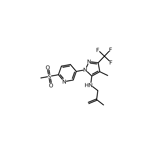 C=C(C)CNc1c(C)c(C(F)(F)F)nn1-c1ccc(S(C)(=O)=O)nc1